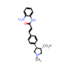 CN1C[C@@H](C(=O)O)[C@H](c2ccc(C=CC(=O)Nc3ccccc3N)cc2)C1